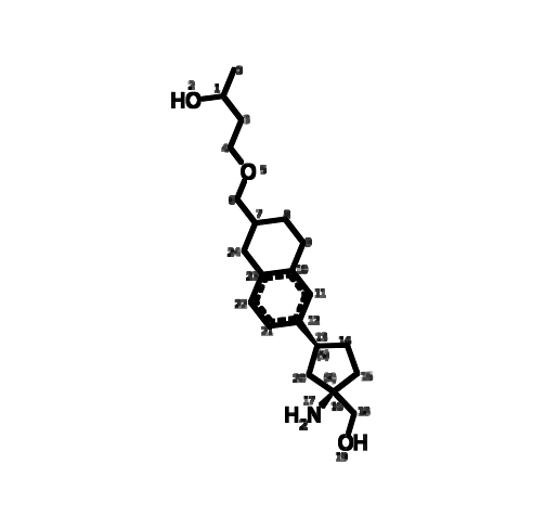 CC(O)CCOCC1CCc2cc([C@H]3CC[C@](N)(CO)C3)ccc2C1